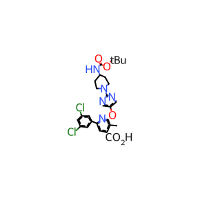 Cc1c(C(=O)O)cc(-c2cc(Cl)cc(Cl)c2)nc1Oc1cnc(N2CCC(NC(=O)OC(C)(C)C)CC2)nc1